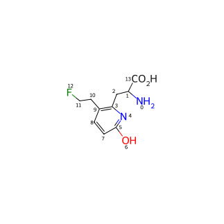 NC(Cc1nc(O)ccc1CCF)C(=O)O